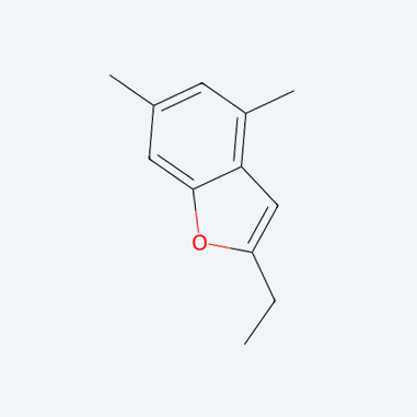 CCc1cc2c(C)cc(C)cc2o1